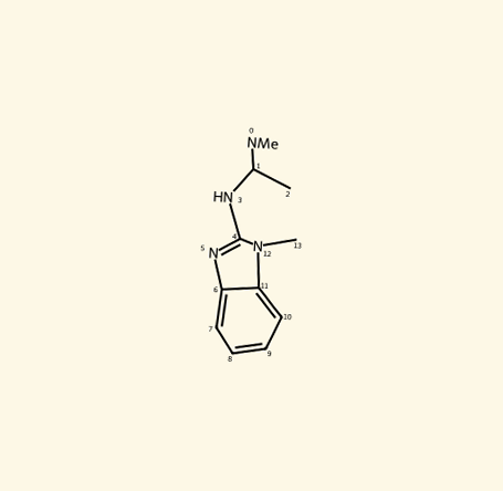 CNC(C)Nc1nc2ccccc2n1C